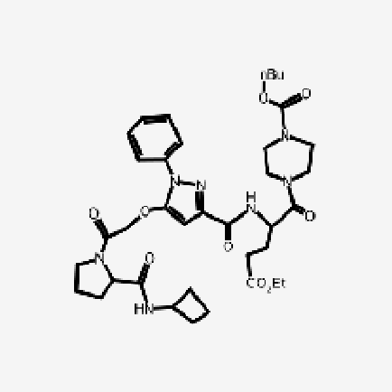 CCCCOC(=O)N1CCN(C(=O)C(CCC(=O)OCC)NC(=O)c2cc(OCC(=O)N3CCCC3C(=O)NC3CCC3)n(-c3ccccc3)n2)CC1